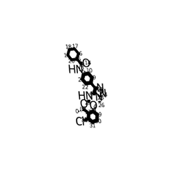 C[C@H](OC(=O)Nc1c(-c2ccc(NC(=O)C3CCCCC3)cc2)nnn1C)c1ccccc1Cl